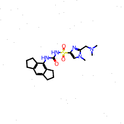 CN(C)Cc1nc(S(=O)(=O)NC(=O)Nc2c3c(cc4c2CCC4)CCC3)cn1C